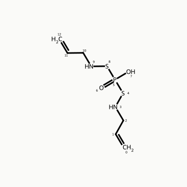 C=CCNSP(=O)(O)SNCC=C